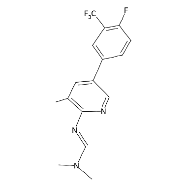 Cc1cc(-c2ccc(F)c(C(F)(F)F)c2)cnc1N=CN(C)C